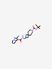 Cc1nn2ccccc2c1C(=O)NCC1CC2(CCN(C(=O)OC(C)(C)C)CC2)C1